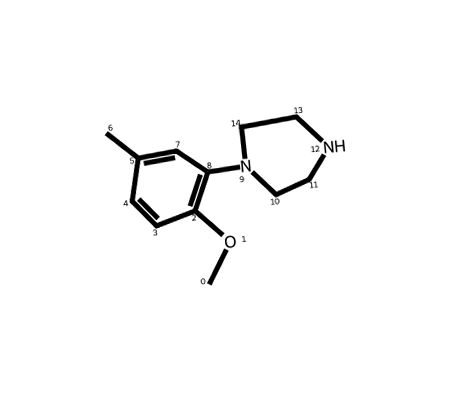 COc1ccc(C)cc1N1CCNCC1